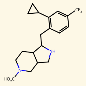 O=C(O)N1CCC2C(CNC2Cc2ccc(C(F)(F)F)cc2C2CC2)C1